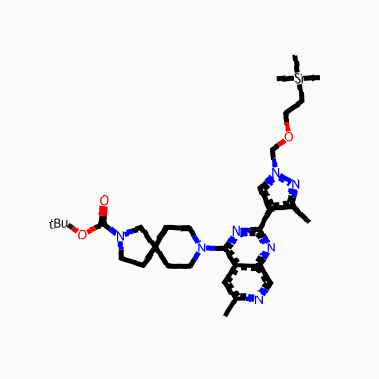 Cc1cc2c(N3CCC4(CCN(C(=O)OC(C)(C)C)C4)CC3)nc(-c3cn(COCC[Si](C)(C)C)nc3C)nc2cn1